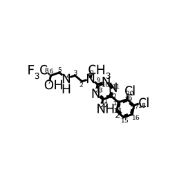 CN(CCNC[C@@H](O)C(F)(F)F)c1nnc(-c2cccc(Cl)c2Cl)c(N)n1